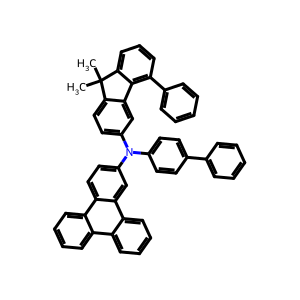 CC1(C)c2ccc(N(c3ccc(-c4ccccc4)cc3)c3ccc4c5ccccc5c5ccccc5c4c3)cc2-c2c(-c3ccccc3)cccc21